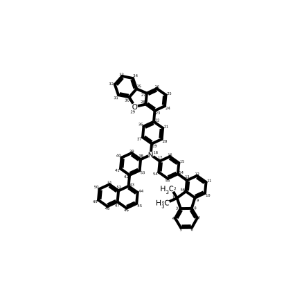 CC1(C)c2ccccc2-c2cccc(-c3ccc(N(c4ccc(-c5cccc6c5oc5ccccc56)cc4)c4cccc(-c5cccc6ccccc56)c4)cc3)c21